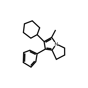 Cc1c(C2CCCCC2)c(-c2ccccc2)c2n1CCC2